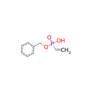 C=CP(=O)(O)OCc1ccccc1